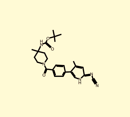 Cc1c/c(=N/C#N)[nH]cc1-c1ccc(C(=O)N2CCC(C)(NC(=O)OC(C)(C)C)CC2)cc1